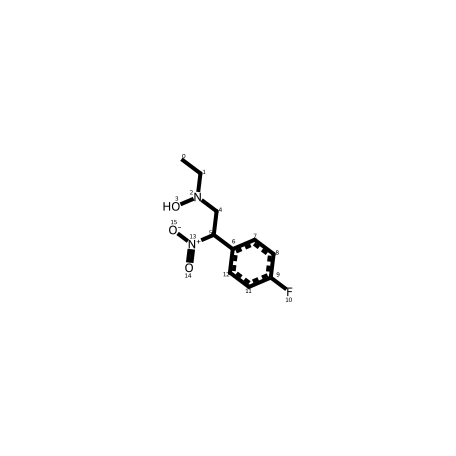 CCN(O)CC(c1ccc(F)cc1)[N+](=O)[O-]